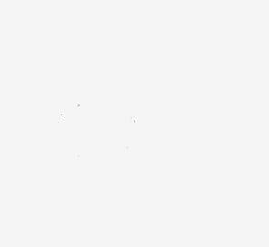 CC(C)[C@](N)(CC(=O)O)C(=O)N(C(=O)OC(C)(C)C)C(c1ccccc1)c1ccccc1